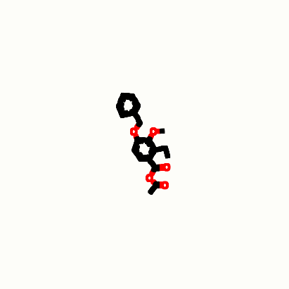 CCc1c(C(=O)OC(C)=O)ccc(OCc2ccccc2)c1OC